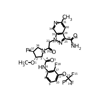 CO[C@H]1[C@@H](C(=O)Nc2cccc(OC(F)(F)F)c2F)N(C(=O)Cn2nc(C(N)=O)c3cc(C)ncc32)C[C@@H]1F